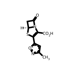 Cc1cc(C2=C(C(=O)O)N3C(=O)C[C@@H]3S2)on1